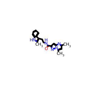 Cc1cc(C)n2nc(C(=O)NCCc3c(C)[nH]c4ccccc34)cc2n1